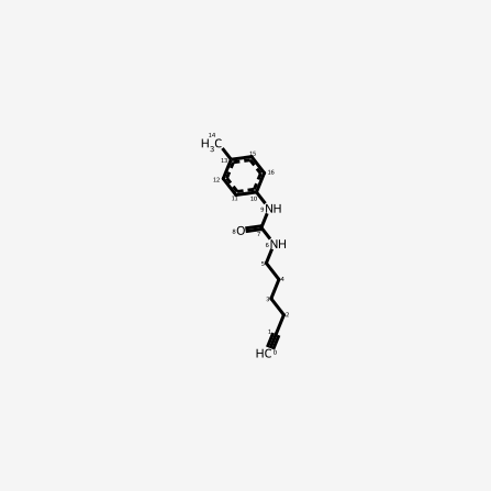 C#CCCCCNC(=O)Nc1ccc(C)cc1